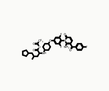 CC(CC1CCCC1)CC(NC1CCC(Oc2cc(F)c(-n3c(N)c(C(=O)c4ccc(F)cc4)ccc3=O)c(F)c2)CC1)C(=O)OC(=O)C(F)(F)F